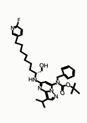 CC(C)c1cnn2c(N(Cc3ccccc3)C(=O)OC(C)(C)C)cc(N[C@@H](CO)CCCCCCCc3ccc(F)nc3)nc12